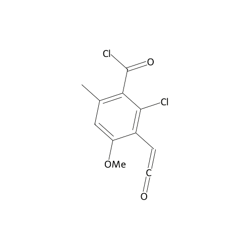 COc1cc(C)c(C(=O)Cl)c(Cl)c1C=C=O